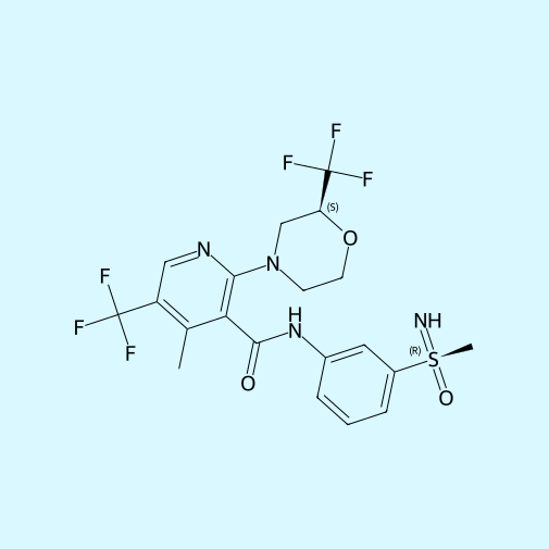 Cc1c(C(F)(F)F)cnc(N2CCO[C@H](C(F)(F)F)C2)c1C(=O)Nc1cccc([S@](C)(=N)=O)c1